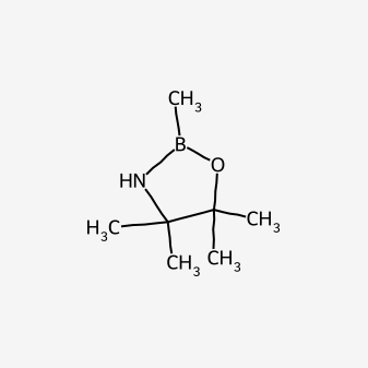 CB1NC(C)(C)C(C)(C)O1